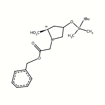 CC(C)(C)[Si](C)(C)OC1C[C@H](C(=O)O)N(CC(=O)OCc2ccccc2)C1